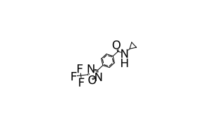 O=C(NC1CC1)c1ccc(-c2noc(C(F)(F)F)n2)cc1